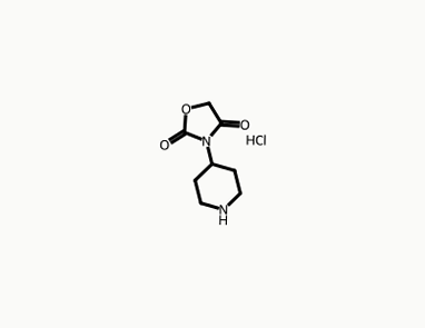 Cl.O=C1COC(=O)N1C1CCNCC1